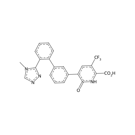 Cn1cnnc1-c1ccccc1-c1cccc(-c2cc(C(F)(F)F)c(C(=O)O)[nH]c2=O)c1